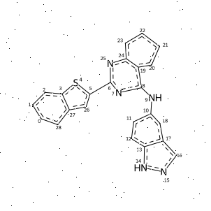 c1ccc2sc(-c3nc(Nc4ccc5[nH]ncc5c4)c4ccccc4n3)cc2c1